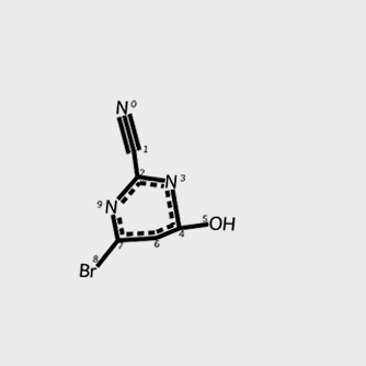 N#Cc1nc(O)cc(Br)n1